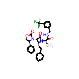 C[C@@H](C(=O)NCc1cccc(C(F)(F)F)c1)N1C(=O)[C@@H](N2C(=O)OC[C@@H]2c2ccccc2)[C@H]1/C=C/c1ccccc1